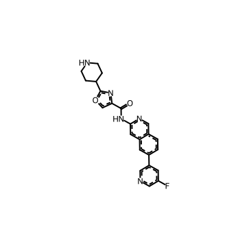 O=C(Nc1cc2cc(-c3cncc(F)c3)ccc2cn1)c1coc(C2CCNCC2)n1